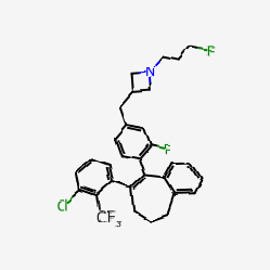 FCCCN1CC(Cc2ccc(C3=C(c4cccc(Cl)c4C(F)(F)F)CCCc4ccccc43)c(F)c2)C1